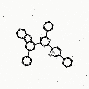 C=C(/C=C\C(=C/C)c1ccccc1)c1nc(-c2ccccc2)nc(-c2cc(-c3ccccc3)cc3c2oc2ccccc23)n1